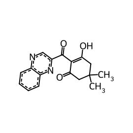 CC1(C)CC(=O)C(C(=O)c2cnc3ccccc3n2)=C(O)C1